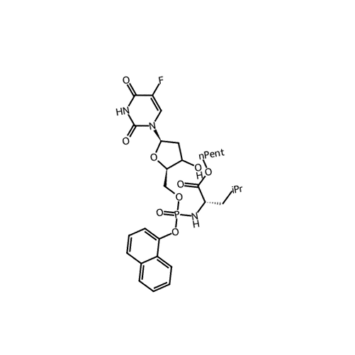 CCCCCOC(=O)[C@H](CC(C)C)NP(=O)(OC[C@H]1O[C@@H](n2cc(F)c(=O)[nH]c2=O)CC1O)Oc1cccc2ccccc12